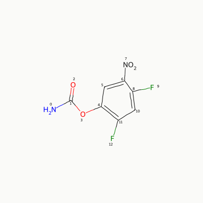 NC(=O)Oc1cc([N+](=O)[O-])c(F)cc1F